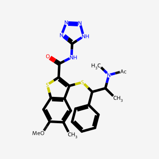 COc1cc2sc(C(=O)Nc3nnn[nH]3)c(SC(c3ccccc3)C(C)N(C)C(C)=O)c2cc1C